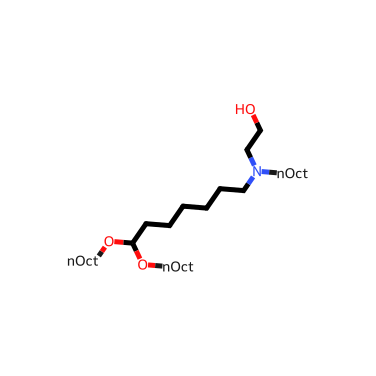 CCCCCCCCOC(CCCCCCN(CCO)CCCCCCCC)OCCCCCCCC